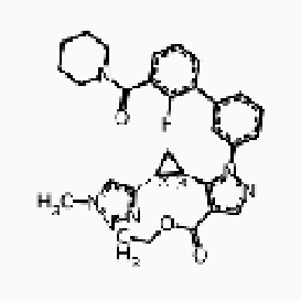 CCOC(=O)c1cnn(-c2cccc(-c3cccc(C(=O)N4CCCCC4)c3F)c2)c1[C@@H]1C[C@H]1c1cn(C)nn1